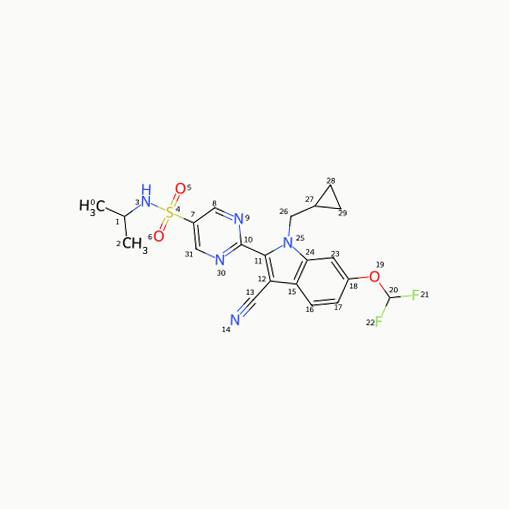 CC(C)NS(=O)(=O)c1cnc(-c2c(C#N)c3ccc(OC(F)F)cc3n2CC2CC2)nc1